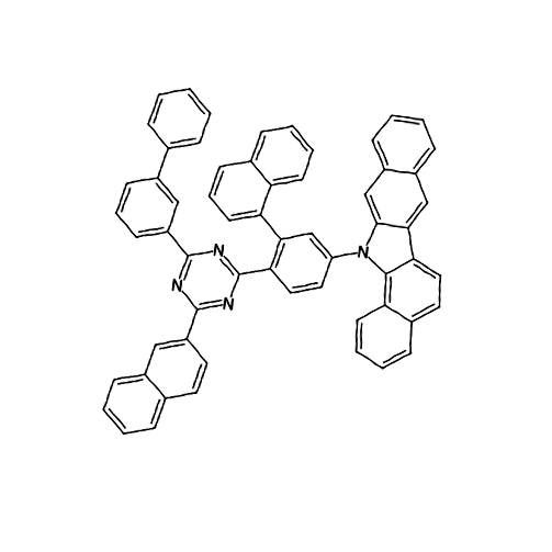 c1ccc(-c2cccc(-c3nc(-c4ccc5ccccc5c4)nc(-c4ccc(-n5c6cc7ccccc7cc6c6ccc7ccccc7c65)cc4-c4cccc5ccccc45)n3)c2)cc1